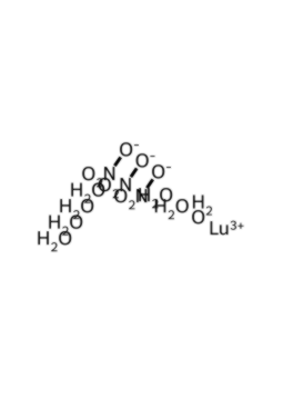 O.O.O.O.O.O.O.O=[N+]([O-])[O-].O=[N+]([O-])[O-].O=[N+]([O-])[O-].[Lu+3]